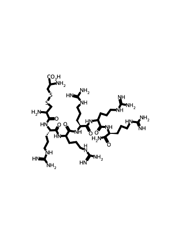 N=C(N)NCCCC(NC(=O)[C@H](CCCNC(=N)N)NC(=O)C(N)CSSCC(N)C(=O)O)C(=O)N[C@@H](CCCNC(=N)N)C(=O)NC(CCCNC(=N)N)C(=O)N[C@@H](CCCNC(=N)N)C(N)=O